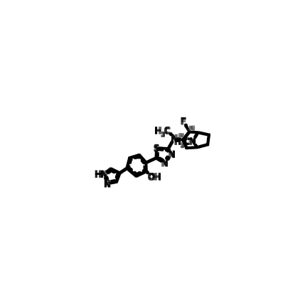 CN1C2CCC1[C@H](F)[C@H](N(C)c1nnc(-c3ccc(-c4cn[nH]c4)cc3O)s1)C2